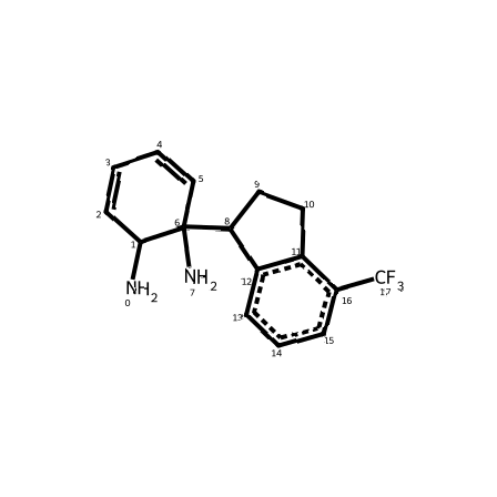 NC1C=CC=CC1(N)C1CCc2c1cccc2C(F)(F)F